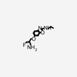 CCCNc1nc2ccc(OC/C(=C/F)CN)cc2o1